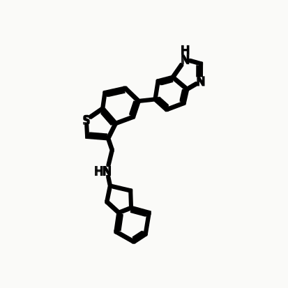 c1ccc2c(c1)CC(NCc1csc3ccc(-c4ccc5nc[nH]c5c4)cc13)C2